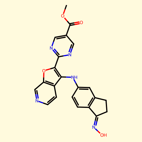 COC(=O)c1cnc(-c2oc3cnccc3c2Nc2ccc3c(c2)CC/C3=N\O)nc1